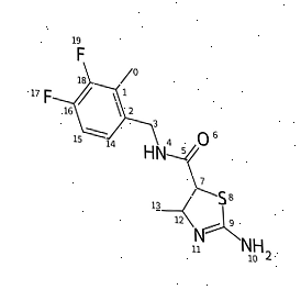 Cc1c(CNC(=O)C2SC(N)=NC2C)ccc(F)c1F